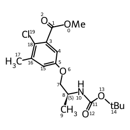 COC(=O)c1cc(OC[C@H](C)NC(=O)OC(C)(C)C)cc(C)c1Cl